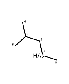 C[AsH]CC(C)C